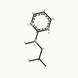 CC(C)CN(C)c1ncccn1